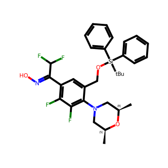 C[C@@H]1CN(c2c(CO[Si](c3ccccc3)(c3ccccc3)C(C)(C)C)cc(C(=NO)C(F)F)c(F)c2F)C[C@H](C)O1